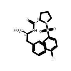 O=C(O)[C@H](Cc1ccccc1)NC(=O)[C@@H]1CCCN1S(=O)(=O)c1ccc(Cl)cc1